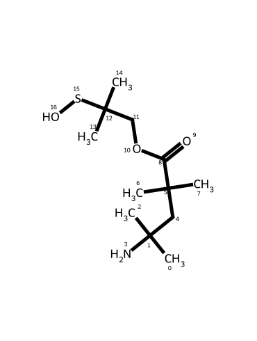 CC(C)(N)CC(C)(C)C(=O)OCC(C)(C)SO